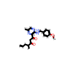 C=CCC(C)C(=O)CC(=O)c1nc(C)cnc1NCc1ccc(OC)cc1